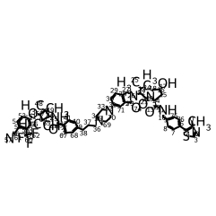 Cc1ncsc1-c1ccc(CNC(=O)[C@@H]2C[C@@H](O)CN2C(=O)[C@H](C(C)C)N2Cc3ccc(N4CCN(CCCc5ccc(C(=O)NC6C(C)(C)C(Oc7ccc(C#N)c(C(F)(F)F)c7)C6(C)C)cc5)CC4)cc3C2=O)cc1